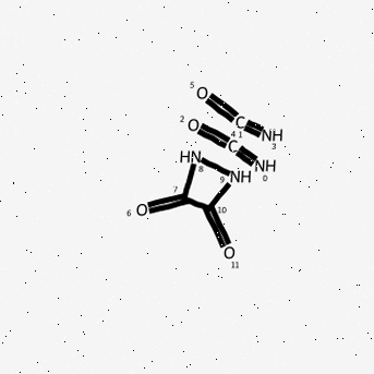 N=C=O.N=C=O.O=C1NNC1=O